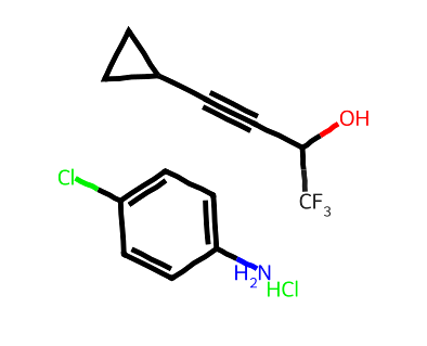 Cl.Nc1ccc(Cl)cc1.OC(C#CC1CC1)C(F)(F)F